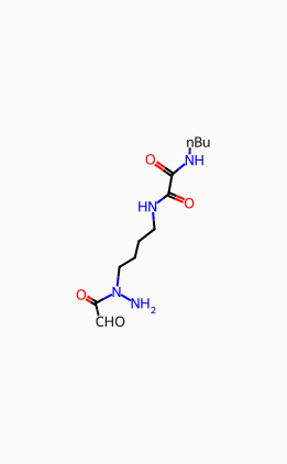 CCCCNC(=O)C(=O)NCCCCN(N)C(=O)C=O